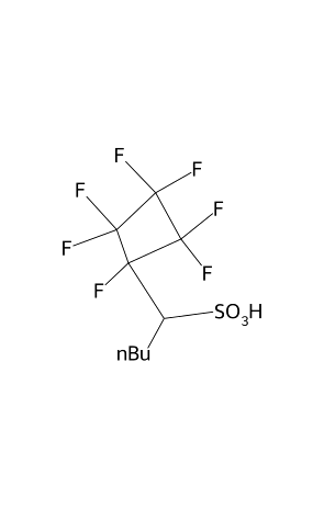 CCCCC(C1(F)C(F)(F)C(F)(F)C1(F)F)S(=O)(=O)O